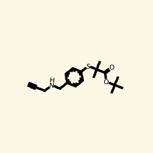 C#CCNCc1ccc(SC(C)(C)C(=O)OC(C)(C)C)cc1